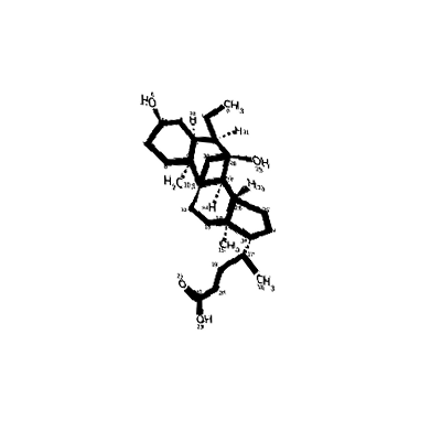 CC[C@@H]1[C@@H]2C[C@H](O)CC[C@]2(C)[C@@]23CC[C@]4(C)[C@@H](C(C)CCC(=O)O)CC[C@H]4[C@@H]2[C@]1(O)C3